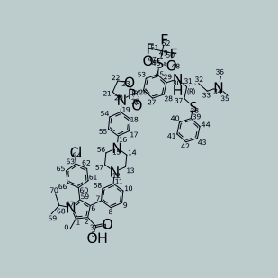 Cc1c(C(=O)O)c(-c2cccc(N3CCN(c4ccc(N5CCO[P@]5(=O)c5ccc(N[C@H](CCN(C)C)CSc6ccccc6)c(S(=O)(=O)C(F)(F)F)c5)cc4)CC3)c2)c(-c2ccc(Cl)cc2)n1C(C)C